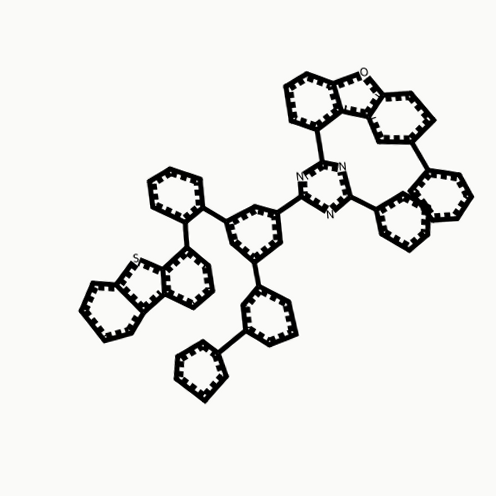 c1ccc(-c2cccc(-c3cc(-c4nc(-c5ccccc5)nc(-c5cccc6oc7ccc(-c8ccccc8)cc7c56)n4)cc(-c4ccccc4-c4cccc5c4sc4ccccc45)c3)c2)cc1